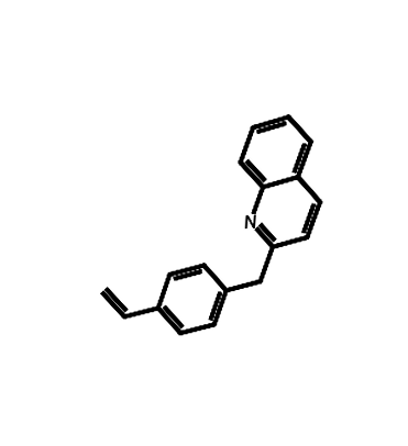 C=Cc1ccc(Cc2ccc3ccccc3n2)cc1